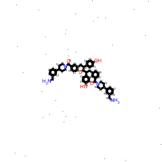 NCc1cccc(C2CCN(C(=O)c3cccc(CC(C(=O)C(Cc4cccc(C(=O)N5CCC(c6cccc(CN)c6)CC5)c4)c4ccc(O)cc4)c4ccc(O)cc4)c3)CC2)c1